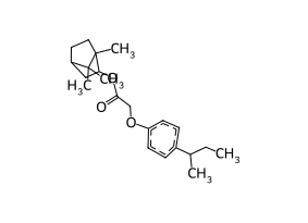 CCC(C)c1ccc(OCC(=O)OC2CC3CCC2(C)C3(C)C)cc1